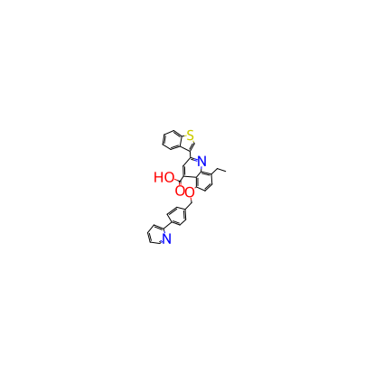 CCc1ccc(OCc2ccc(-c3ccccn3)cc2)c2c(C(=O)O)cc(-c3csc4ccccc34)nc12